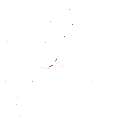 NON.P